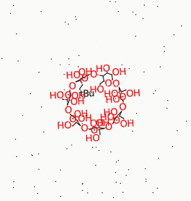 CC(C)(C)CCC1OC2OC3C(CO)OC(OC4C(CO)OC(OC5C(CO)OC(OC6C(CO)OC(OC7C(CO)OC(OC8C(CO)OC(OC1C(O)C2O)C(O)C8O)C(O)C7O)C(O)C6O)C(O)C5O)C(O)C4O)C(O)C3O